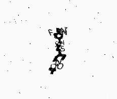 Cn1cc2c(F)cc(-c3nc4sc(C5CCN(C(=O)OC(C)(C)C)CC5)cc4s3)cc2n1